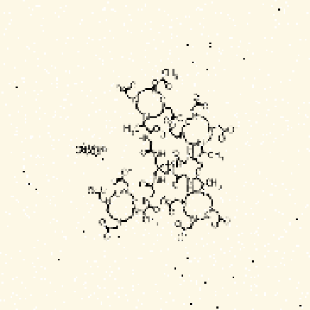 CC(=O)ON1CCN(CC(=O)[O-])CCN(C(C)C(=O)NCC(=O)NCC(CNC(=O)CNC(=O)C(C)N2CCN(CC(=O)[O-])CCN(CC(=O)[O-])CCN(CC(=O)[O-])CC2)(CNC(=O)CNC(=O)C(C)N2CCN(CC(=O)[O-])CCN(CC(=O)[O-])CCN(CC(=O)[O-])CC2)CNC(=O)CNC(=O)C(C)N2CCN(CC(=O)[O-])CCN(CC(=O)[O-])CCN(CC(=O)[O-])CC2)CCN(CC(=O)[O-])CC1.[Gd+3].[Gd+3].[Gd+3].[Gd+3]